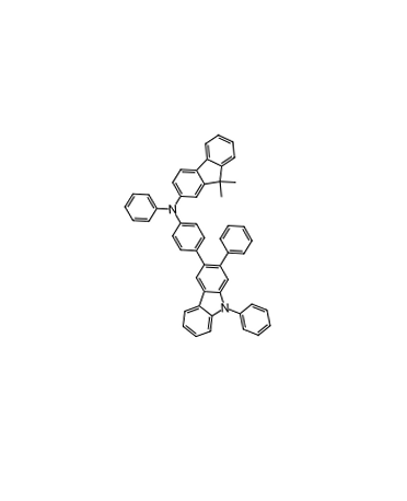 CC1(C)c2ccccc2-c2ccc(N(c3ccccc3)c3ccc(-c4cc5c6ccccc6n(-c6ccccc6)c5cc4-c4ccccc4)cc3)cc21